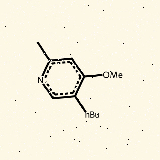 CCCCc1cnc(C)cc1OC